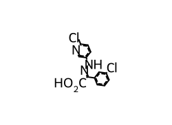 O=C(O)C(=NNc1ccc(Cl)nc1)c1cccc(Cl)c1